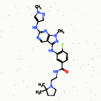 Cn1cc(Nc2ncc3c(Nc4cc(C(=O)NCCN5CCCC5(C)C)ccc4F)nn(C)c3n2)cn1